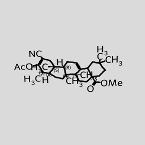 COC(=O)[C@]12CCC(C)(C)CC1C1=CC[C@@H]3[C@@]4(C)CC(C#N)=C(OC(C)=O)[C@@H](C)[C@@H]4CC[C@@]3(C)[C@]1(C)CC2